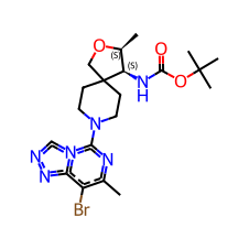 Cc1nc(N2CCC3(CC2)CO[C@@H](C)[C@H]3NC(=O)OC(C)(C)C)n2cnnc2c1Br